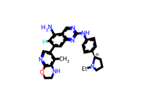 CCN1CCC[C@@H]1c1ccc(Nc2ncc3c(N)c(F)c(-c4cnc5c(c4C)NCCO5)cc3n2)cc1